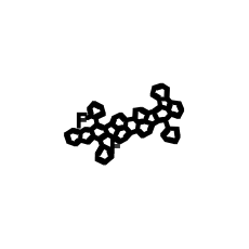 Fc1ccccc1-c1c2c(c(-c3ccccc3F)c3cc4ccccc4cc13)-c1ccc3c4ccc5c6c(ccc(c7ccc-2c1c73)c46)c1c(-c2ccccc2)c2cccc3c4ccccc4c(c23)c51